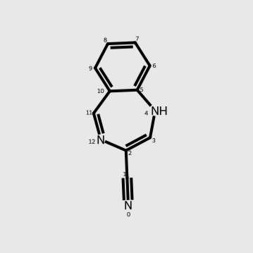 N#CC1=CNc2ccccc2C=N1